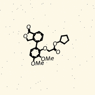 COc1ccc(-c2cccc3c2COC3=O)c(OCC(=O)OC2CCCC2)c1OC